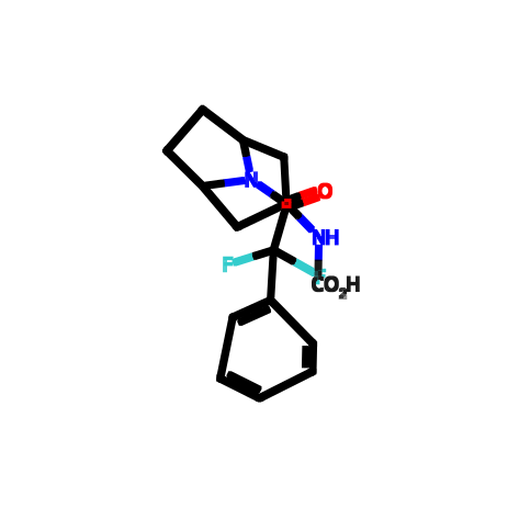 O=C(O)NC1CC2CCC(C1)N2C(=O)C(F)(F)c1ccccc1